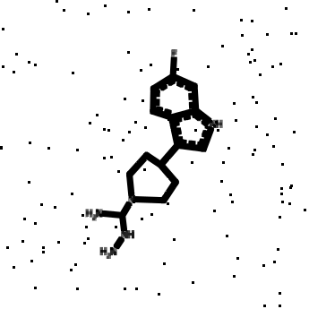 NNC(N)N1CCC(c2c[nH]c3cc(F)ccc23)CC1